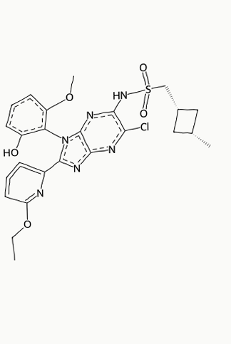 CCOC1=NC(c2nc3nc(Cl)c(NS(=O)(=O)C[C@H]4C[C@@H](C)C4)nc3n2-c2c(O)cccc2OC)=C=C=C1